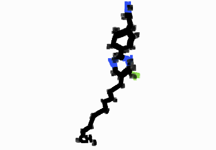 CCCCCCCCCc1cnc(-c2ccc(C#N)cc2)nc1F